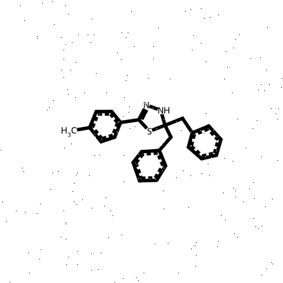 Cc1ccc(C2=NNC(Cc3ccccc3)(Cc3ccccc3)S2)cc1